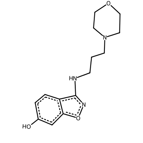 Oc1ccc2c(NCCCN3CCOCC3)noc2c1